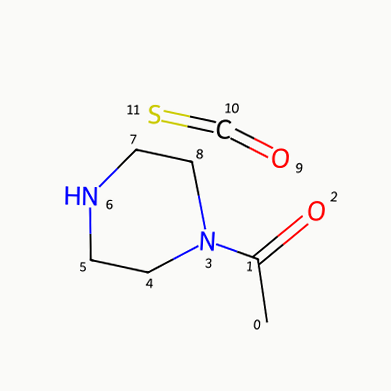 CC(=O)N1CCNCC1.O=C=S